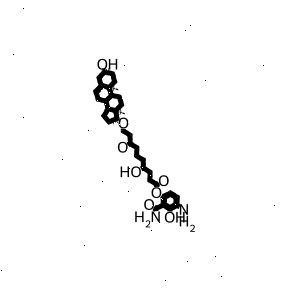 C[C@@]12CC[C@@H](O)CC1=CCC1C2CC[C@]2(C)C1CC[C@H]2OCCC(=O)CCCC(O)CCC(=O)Oc1ccc(N)c(O)c1C(N)=O